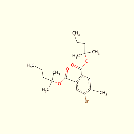 CCCC(C)(C)OC(=O)c1cc(C)c(Br)cc1C(=O)OC(C)(C)CCC